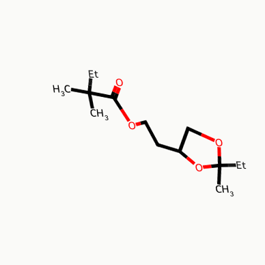 CCC1(C)OCC(CCOC(=O)C(C)(C)CC)O1